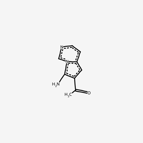 CC(=O)c1cc2ccncn2c1N